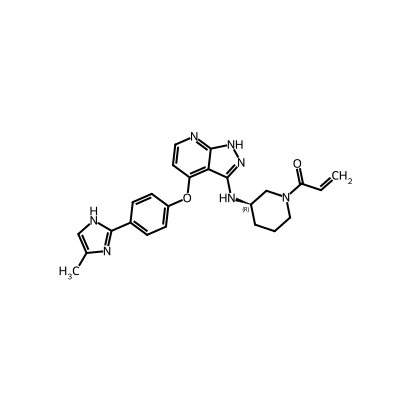 C=CC(=O)N1CCC[C@@H](Nc2n[nH]c3nccc(Oc4ccc(-c5nc(C)c[nH]5)cc4)c23)C1